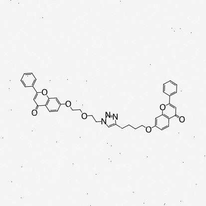 O=c1cc(-c2ccccc2)oc2cc(OCCCCc3cn(CCOCCOc4ccc5c(=O)cc(-c6ccccc6)oc5c4)nn3)ccc12